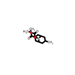 COC(=O)CN1C2CC(C)CC1CC(C(=O)OC)C2